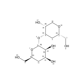 OC[C@@H]1C[C@H](O[C@H]2O[C@H](CO)C[C@H](O)[C@@H]2O)[C@H](O)CO1